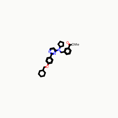 COC(=O)c1cccc(CN(c2ccnc(-c3ccc(OCC4CCCCC4)cc3)n2)C2CCCC2)c1